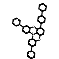 O=P12c3ccc(-c4ccccc4)cc3Oc3ccc(-c4ccc(-c5ccccn5)cc4)c(c31)Oc1cc(-c3ccccc3)ccc12